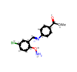 COC(=O)c1ccc(/N=C/c2cc(Br)ccc2ON)cc1